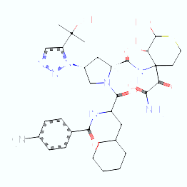 CC(C)(O)c1cnnn1[C@H]1C[C@@H](C(=O)NC2(C(=O)C(N)=O)CCSC(O)C2O)N(C(=O)C(CC2CCCCC2)NC(=O)c2ccc([N+](=O)[O-])cc2)C1